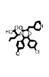 CCCC(C(=O)O)N1C(=O)C(Cc2ccncc2)OC(c2ccc(Cl)cc2)C1c1ccc(Cl)cc1